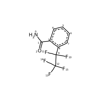 NC(=O)c1ccccc1C(F)(F)C(F)(F)F